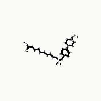 CC(C)C(=O)CCCCCCCCCN(C)Cc1ccc(N2CCN(C)CC2)cc1